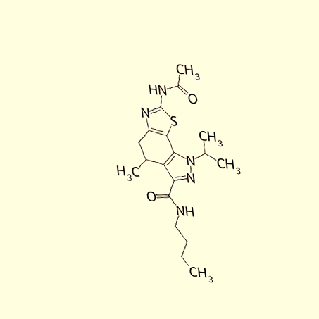 CCCCNC(=O)c1nn(C(C)C)c2c1C(C)Cc1nc(NC(C)=O)sc1-2